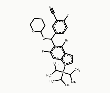 CC(C)[Si](C(C)C)(C(C)C)n1ccc2c(Br)c(C(OC3CCCCO3)c3ccc(F)c(C#N)c3)c(F)cc21